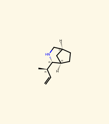 C=C[C@@H](C)[C@@H]1NC[C@H]2CC[C@@H]1C2